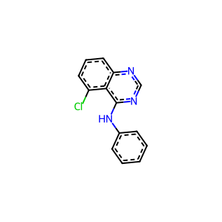 Clc1cccc2ncnc(Nc3ccccc3)c12